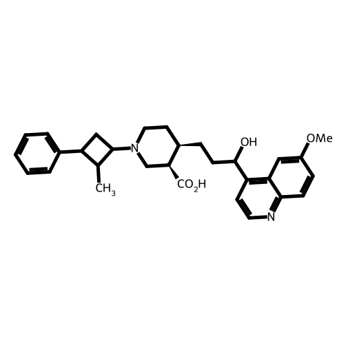 COc1ccc2nccc(C(O)CC[C@@H]3CCN(C4CC(c5ccccc5)C4C)C[C@@H]3C(=O)O)c2c1